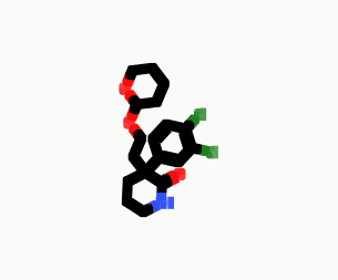 O=C1NCCCC1(CCOC1CCCCO1)c1ccc(Cl)c(Cl)c1